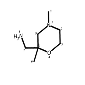 CN1CCOC(C)(CN)C1